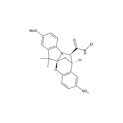 CCNC(=O)[C@H]1[C@@H]2C[C@@]3(Oc4ccc([N+](=O)[O-])cc42)N1c1ccc(OC)cc1C3(C)C